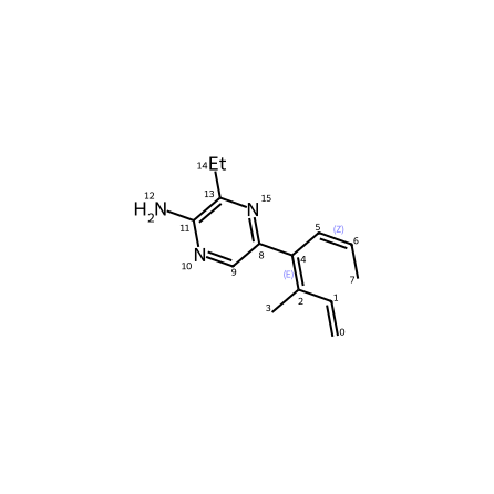 C=C/C(C)=C(\C=C/C)c1cnc(N)c(CC)n1